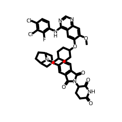 COc1cc2ncnc(Nc3ccc(Cl)c(Cl)c3F)c2cc1OC1CCC(CN2C3CCC2CN(c2ccc4c(c2)C(=O)N(C2CCC(=O)NC2=O)C4=O)C3)CC1